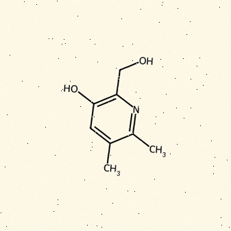 Cc1cc(O)c(CO)nc1C